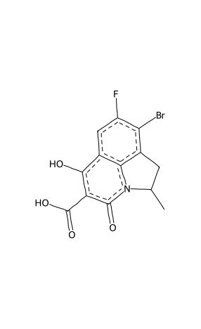 CC1Cc2c(Br)c(F)cc3c(O)c(C(=O)O)c(=O)n1c23